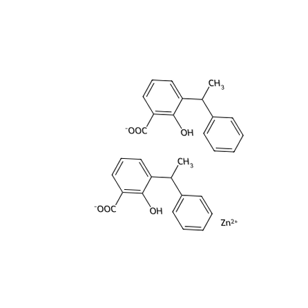 CC(c1ccccc1)c1cccc(C(=O)[O-])c1O.CC(c1ccccc1)c1cccc(C(=O)[O-])c1O.[Zn+2]